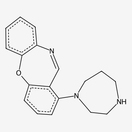 C1=Nc2ccccc2Oc2cccc(N3CCCNCC3)c21